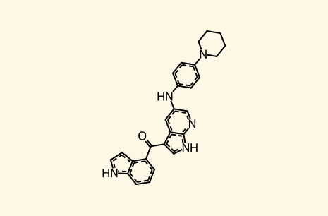 O=C(c1cccc2[nH]ccc12)c1c[nH]c2ncc(Nc3ccc(N4CCCCC4)cc3)cc12